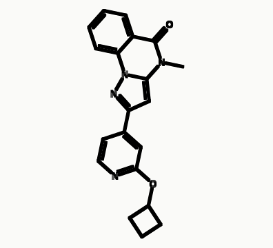 Cn1c(=O)c2ccccc2n2nc(-c3ccnc(OC4CCC4)c3)cc12